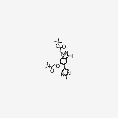 Cc1ncc(-c2cc3c(I)nn(CC(=O)OC(C)(C)C)c3cc2OCC(=O)N(C)C)cn1